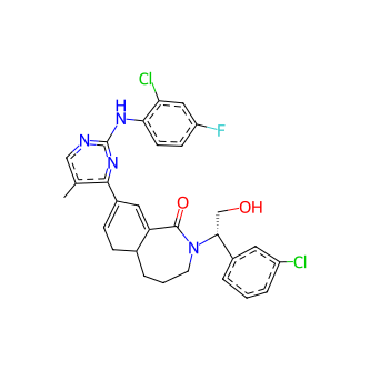 Cc1cnc(Nc2ccc(F)cc2Cl)nc1C1=CCC2CCCN([C@H](CO)c3cccc(Cl)c3)C(=O)C2=C1